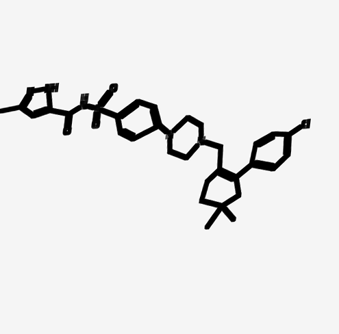 Cc1cc(C(=O)NS(=O)(=O)c2ccc(N3CCN(CC4=C(c5ccc(Cl)cc5)CC(C)(C)CC4)CC3)cc2)[nH]n1